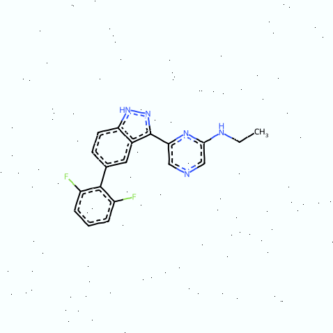 CCNc1cncc(-c2n[nH]c3ccc(-c4c(F)cccc4F)cc23)n1